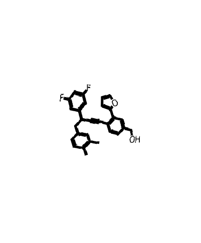 Cc1ccc(CC(C#Cc2ccc(CO)cc2-c2ccco2)c2cc(F)cc(F)c2)cc1C